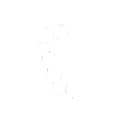 O=C(Nc1ccc(C(F)(F)F)cc1F)NC1CCN(c2ccc(Br)c(F)c2F)C1=O